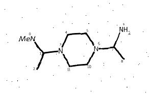 CNC(C)N1CCN(C(C)N)CC1